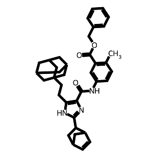 Cc1ccc(NC(=O)c2nc(C3CC4C=CC3C4)[nH]c2CCC23CC4CC(CC(C4)C2)C3)cc1C(=O)OCc1ccccc1